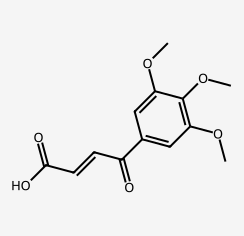 COc1cc(C(=O)/C=C/C(=O)O)cc(OC)c1OC